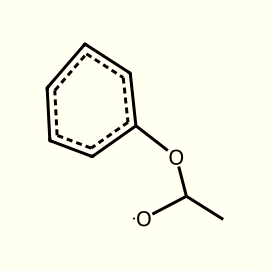 CC([O])Oc1ccccc1